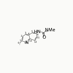 [CH2]c1ccc2cc(NC(=O)NC)ccc2n1